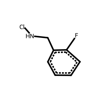 Fc1ccccc1CNCl